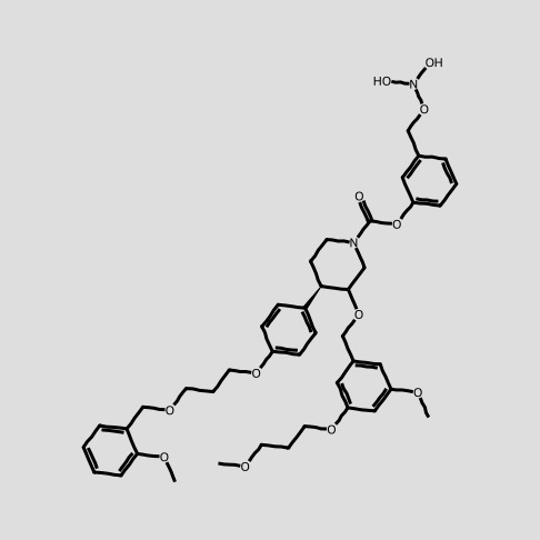 COCCCOc1cc(COC2CN(C(=O)Oc3cccc(CON(O)O)c3)CC[C@@H]2c2ccc(OCCCOCc3ccccc3OC)cc2)cc(OC)c1